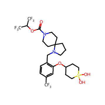 O=C(OC(C(F)(F)F)C(F)(F)F)N1CCC2(CCCN2Cc2ccc(C(F)(F)F)cc2OC2CCS(O)(O)CC2)CC1